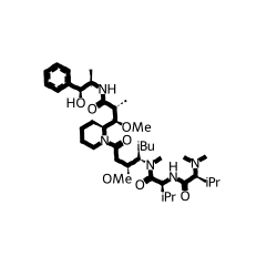 CC[C@H](C)[C@@H]([C@@H](CC(=O)N1CCCC[C@H]1[C@H](OC)[C@@H](C)C(=O)N[C@H](C)[C@@H](O)c1ccccc1)OC)N(C)C(=O)[C@@H](NC(=O)[C@H](C(C)C)N(C)C)C(C)C